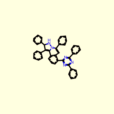 C1=C(c2ccccc2)N2NC(c3ccccc3)C(c3ccccc3)=C2c2cccc(-c3nc(-c4ccccc4)nc(-c4ccccc4)n3)c21